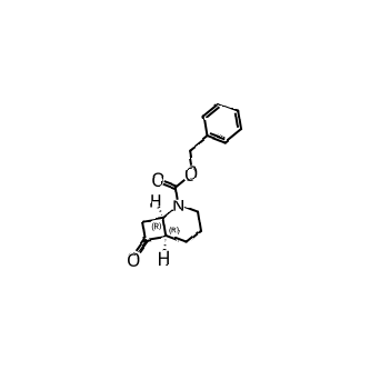 O=C1C[C@@H]2[C@H]1CCCN2C(=O)OCc1ccccc1